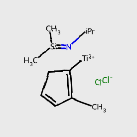 CC(C)N=[Si](C)C.CC1=[C]([Ti+2])CC=C1.[Cl-].[Cl-]